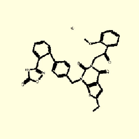 CCc1cc2c(=O)n(CC(=O)c3ccccc3OC)c(=O)n(Cc3ccc(-c4ccccc4-c4noc(=O)[nH]4)cc3)c2s1.[K]